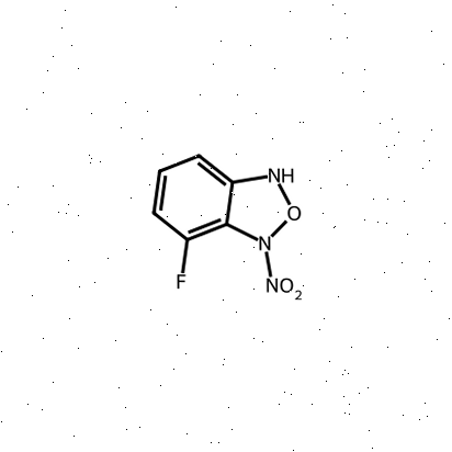 O=[N+]([O-])N1ONc2cccc(F)c21